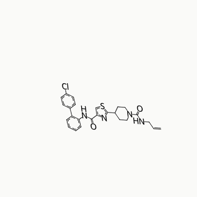 C=CCNC(=O)N1CCC(c2nc(C(=O)Nc3ccccc3-c3ccc(Cl)cc3)cs2)CC1